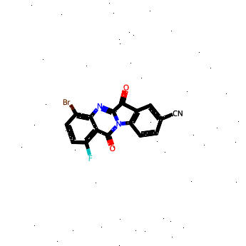 N#Cc1ccc2c(c1)C(=O)c1nc3c(Br)ccc(F)c3c(=O)n1-2